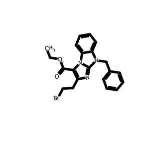 CCOC(=O)c1c(CCBr)nc2n(Cc3ccccc3)c3ccccc3n12